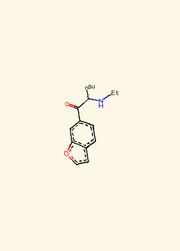 CCCCC(NCC)C(=O)c1ccc2ccoc2c1